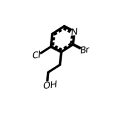 OCCc1c(Cl)ccnc1Br